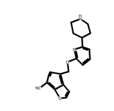 N#Cc1ccc(COc2cccc(C3CCNCC3)n2)c2ccoc12